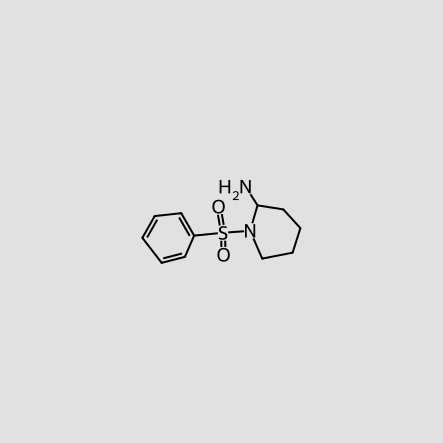 NC1CCCCN1S(=O)(=O)c1ccccc1